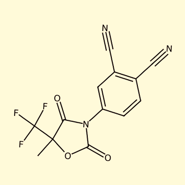 CC1(C(F)(F)F)OC(=O)N(c2ccc(C#N)c(C#N)c2)C1=O